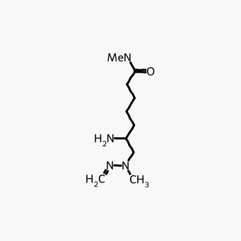 C=NN(C)CC(N)CCCCC(=O)NC